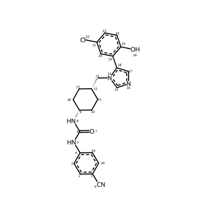 N#Cc1ccc(NC(=O)N[C@H]2CC[C@@H](Cn3cncc3-c3cc(Cl)ccc3O)CC2)cc1